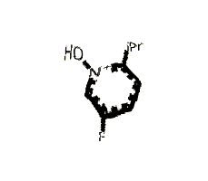 CC(C)c1ccc(F)c[n+]1O